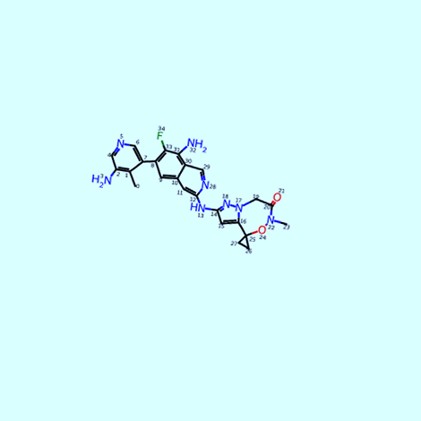 Cc1c(N)cncc1-c1cc2cc(Nc3cc4n(n3)CC(=O)N(C)OC43CC3)ncc2c(N)c1F